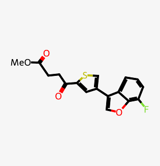 COC(=O)CCC(=O)c1cc(-c2coc3c(F)cccc23)cs1